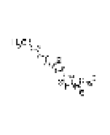 CCCCCCOC(=O)CCC(=O)CNC(=O)OCCl